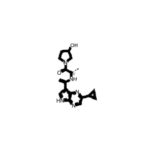 C=C(N[C@@H](C)C(=O)N1CCC(O)C1)c1c[nH]c2ncc(C3CC3)nc12